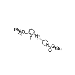 CC(C)(C)OC(=O)N1CCC(C2CN(c3cccc(CO[Si](C)(C)C(C)(C)C)c3F)C2)CC1